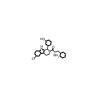 N[C@@H](Cc1ccccc1)C(=O)N1CCc2c([nH]c3ccc(Cl)cc23)C1c1cccc(O)c1